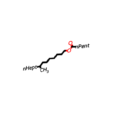 CCCCCCCC(C)CCCCCCCOC(=O)CCCCC